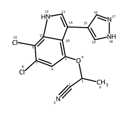 CC(C#N)Oc1cc(Cl)c(Cl)c2[nH]cc(-c3cn[nH]c3)c12